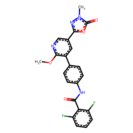 COc1ncc(-c2nn(C)c(=O)o2)cc1-c1ccc(NC(=O)c2c(F)cccc2F)cc1